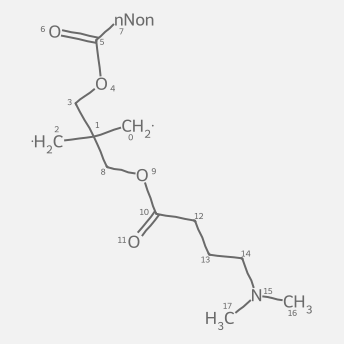 [CH2]C([CH2])(COC(=O)CCCCCCCCC)COC(=O)CCCN(C)C